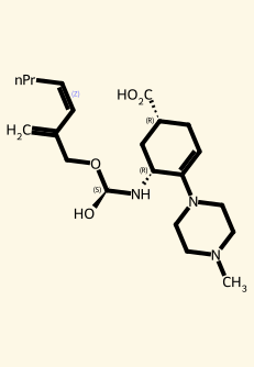 C=C(/C=C\CCC)CO[C@H](O)N[C@@H]1C[C@H](C(=O)O)CC=C1N1CCN(C)CC1